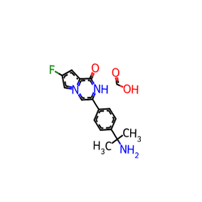 CC(C)(N)c1ccc(-c2cn3cc(F)cc3c(=O)[nH]2)cc1.O=CO